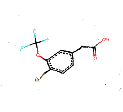 O=C(O)Cc1ccc(Br)c(OC(F)(F)F)c1